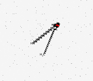 C=C=C=C=C=C=C=C=C=C=C=C=C=C=C=C1C[C@@]23CCCCC2[C@H](Cc2ccccc23)N1/N=N/N=N/N=N/N=N/N=N/N=N/N=N/N=N